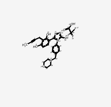 CC#CCc1c(O)ccc(-c2nnc(S)n2-c2ccc(CN3CCOCC3)cc2)c1O.O=C(O)C(F)(F)F